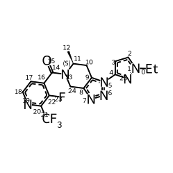 CCn1ccc(-n2nnc3c2C[C@H](C)N(C(=O)c2ccnc(C(F)(F)F)c2F)C3)n1